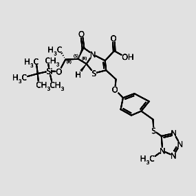 C[C@@H](O[Si](C)(C)C(C)(C)C)[C@H]1C(=O)N2C(C(=O)O)=C(COc3ccc(CSc4nnnn4C)cc3)S[C@H]12